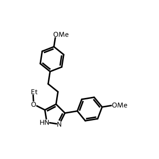 CCOc1[nH]nc(-c2ccc(OC)cc2)c1CCc1ccc(OC)cc1